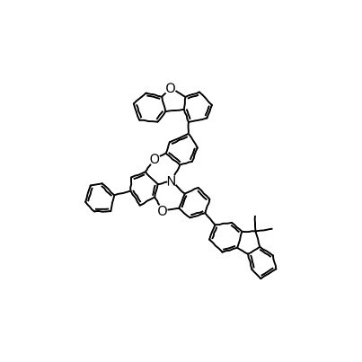 CC1(C)c2ccccc2-c2ccc(-c3ccc4c(c3)Oc3cc(-c5ccccc5)cc5c3N4c3ccc(-c4cccc6oc7ccccc7c46)cc3O5)cc21